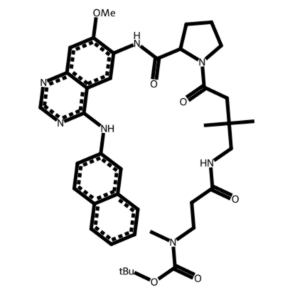 COc1cc2ncnc(Nc3ccc4ccccc4c3)c2cc1NC(=O)C1CCCN1C(=O)CC(C)(C)CNC(=O)CCN(C)C(=O)OC(C)(C)C